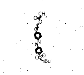 C=CC(=O)OCCOc1ccc(N=Nc2ccc(S(=O)(=O)C[C@H](C)CC)cc2)cc1